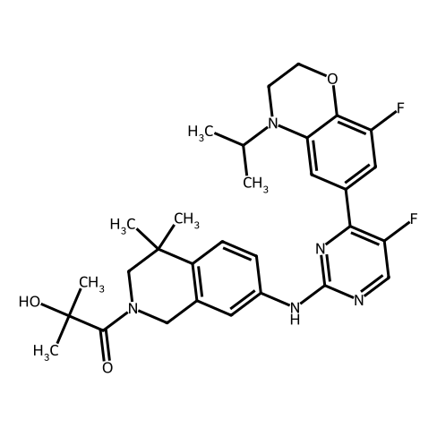 CC(C)N1CCOc2c(F)cc(-c3nc(Nc4ccc5c(c4)CN(C(=O)C(C)(C)O)CC5(C)C)ncc3F)cc21